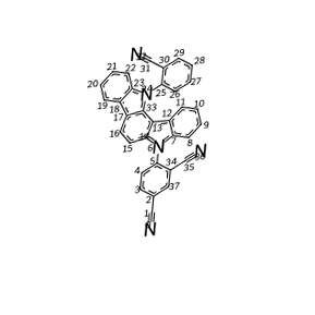 N#Cc1ccc(-n2c3ccccc3c3c2ccc2c4ccccc4n(-c4ccccc4C#N)c23)c(C#N)c1